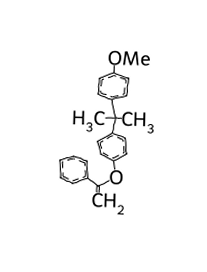 C=C(Oc1ccc(C(C)(C)c2ccc(OC)cc2)cc1)c1ccccc1